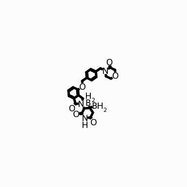 BC1(B)CC(=O)NC(=O)C1N1Cc2c(OCc3ccc(CN4CCOCC4=O)cc3)cccc2C1=O